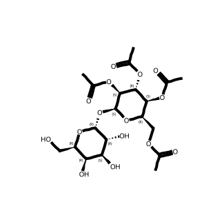 CC(=O)OC[C@H]1O[C@@H](O[C@H]2O[C@H](CO)[C@H](O)[C@H](O)[C@H]2O)[C@@H](OC(C)=O)[C@H](OC(C)=O)[C@H]1OC(C)=O